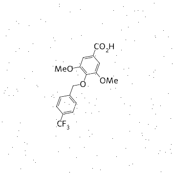 COc1cc(C(=O)O)cc(OC)c1OCc1ccc(C(F)(F)F)cc1